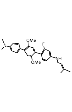 COc1cc(-c2ccc(NCC=C(C)C)cc2F)c(OC)cc1-c1ccc(N(C)C)cc1